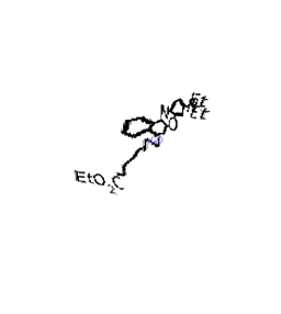 CCOC(=O)CCCCC/N=c1/cc2oc3cc(N(CC)CC)ccc3nc-2c2ccccc12